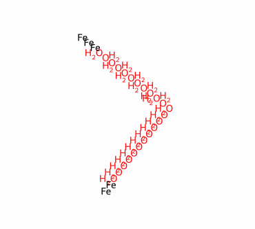 O.O.O.O.O.O.O.O.O.O.O.O.O.O.O.O.O.O.O.O.O.O.O.[Fe].[Fe].[Fe].[Fe].[Fe]